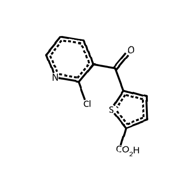 O=C(O)c1ccc(C(=O)c2cccnc2Cl)s1